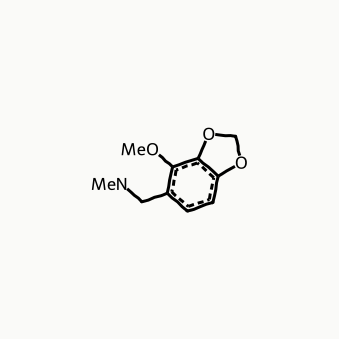 CNCc1ccc2c(c1OC)OCO2